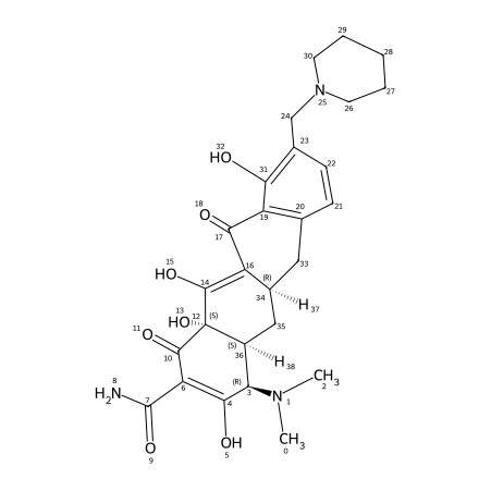 CN(C)[C@H]1C(O)=C(C(N)=O)C(=O)[C@@]2(O)C(O)=C3C(=O)c4c(ccc(CN5CCCCC5)c4O)C[C@H]3C[C@@H]12